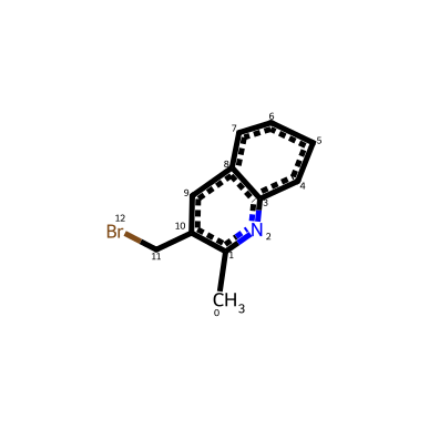 Cc1nc2ccccc2cc1CBr